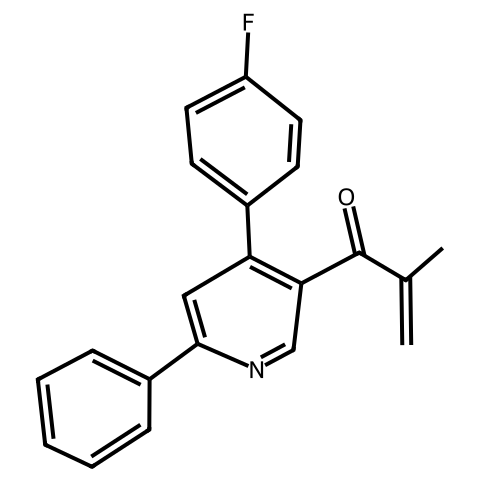 C=C(C)C(=O)c1cnc(-c2ccccc2)cc1-c1ccc(F)cc1